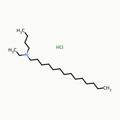 CCCCCCCCCCCCCCN(CC)CCCC.Cl